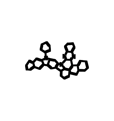 c1ccc(-n2c3cc4ccccc4cc3c3cc4c5ccccc5n(-c5nc6ccccc6nc5-c5cccc6ccccc56)c4cc32)cc1